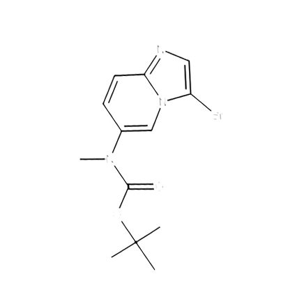 CN(C(=O)OC(C)(C)C)c1ccc2ncc(Br)n2c1